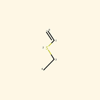 [CH]=CSCC